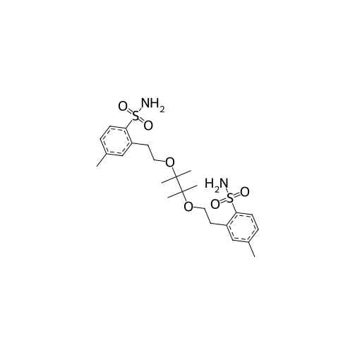 Cc1ccc(S(N)(=O)=O)c(CCOC(C)(C)C(C)(C)OCCc2cc(C)ccc2S(N)(=O)=O)c1